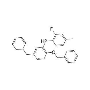 Cc1ccc(Pc2cc(CC3C=CC=CC3)ccc2OCc2ccccc2)c(F)c1